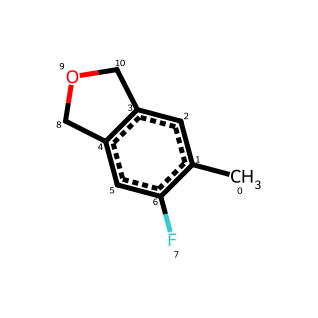 Cc1cc2c(cc1F)COC2